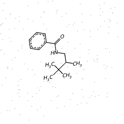 CC(CNC(=O)c1ccccc1)C(C)(C)C